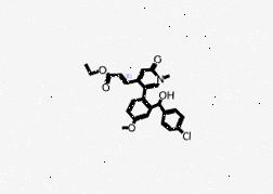 CCOC(=O)/C=C/c1cc(=O)n(C)cc1-c1ccc(OC)cc1C(O)c1ccc(Cl)cc1